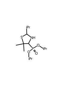 CC(C)OP(=O)(OC(C)C)C1NC(C(C)C)SC1(C)C